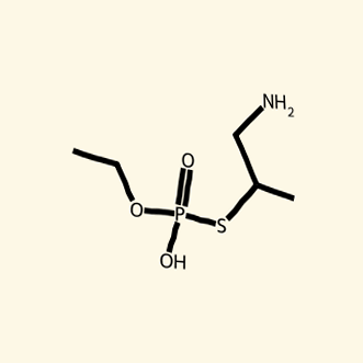 CCOP(=O)(O)SC(C)CN